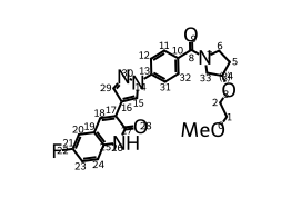 COCCO[C@@H]1CCN(C(=O)c2ccc(-n3cc(-c4cc5cc(F)ccc5[nH]c4=O)cn3)cc2)C1